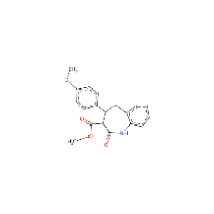 COC(=O)C1C(=O)Nc2ccccc2CC1c1ccc(OC)cc1